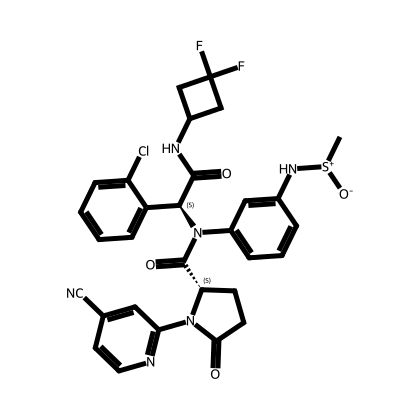 C[S+]([O-])Nc1cccc(N(C(=O)[C@@H]2CCC(=O)N2c2cc(C#N)ccn2)[C@H](C(=O)NC2CC(F)(F)C2)c2ccccc2Cl)c1